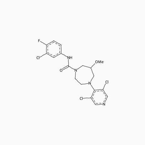 COC1CN(C(=O)Nc2ccc(F)c(Cl)c2)CCN(c2c(Cl)cncc2Cl)C1